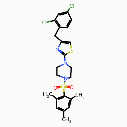 Cc1cc(C)c(S(=O)(=O)N2CCN(c3nc(Cc4ccc(Cl)cc4Cl)cs3)CC2)c(C)c1